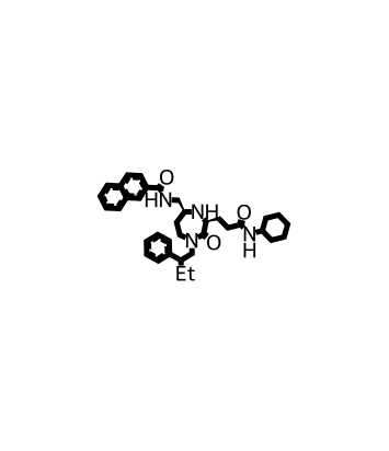 CCC(CN1CC[C@@H](CNC(=O)c2ccc3ccccc3c2)N[C@@H](CCC(=O)NC2CCCCC2)C1=O)c1ccccc1